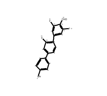 CCCc1ccc(-c2ccc(-c3cc(F)c(C=O)c(F)c3)c(F)c2)cc1